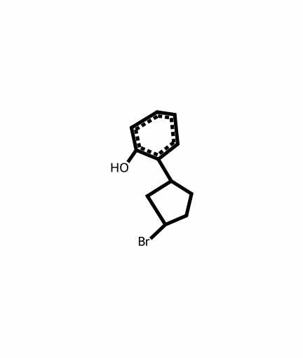 Oc1ccccc1C1CCC(Br)C1